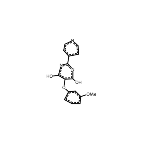 COc1cccc(Oc2c(O)nc(-c3ccncc3)nc2O)c1